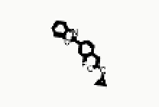 O=C(Cc1ccc(-c2nc3ccccc3o2)cc1F)OC1CC1